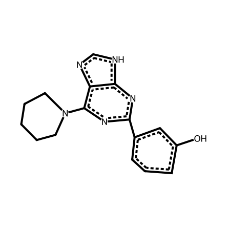 Oc1cccc(-c2nc(N3CCCCC3)c3nc[nH]c3n2)c1